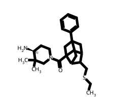 CCSCC1C2CC3(c4ccccc4)CC1C(C(=O)N1CC[C@H](N)C(C)(C)C1)(C2)C3